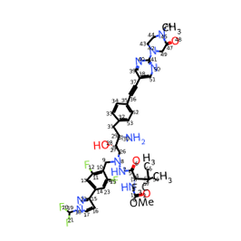 COC(=O)N[C@H](C(=O)NN(Cc1c(F)cc(-c2ccn(C(F)F)n2)cc1F)C[C@H](O)[C@@H](N)Cc1ccc(C#Cc2cnc(N3CCN(C)C(=O)C3)nc2)cc1)C(C)(C)C(F)(F)F